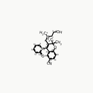 CN(CCO)CC1=C(n2ccccc2=O)c2cc(C#N)ccc2OC1(C)C